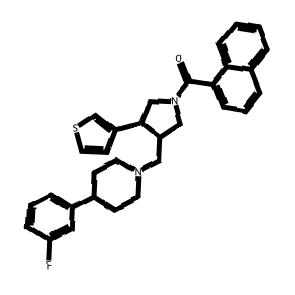 O=C(c1cccc2ccccc12)N1CC(CN2CCC(c3cccc(F)c3)CC2)C(c2ccsc2)C1